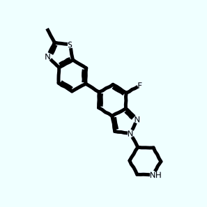 Cc1nc2ccc(-c3cc(F)c4nn(C5CCNCC5)cc4c3)cc2s1